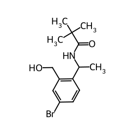 CC(NC(=O)C(C)(C)C)c1ccc(Br)cc1CO